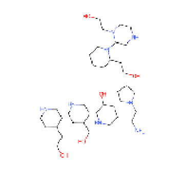 NCCN1CCCC1.OC1CCCNC1.OCC1CCNCC1.OCCC1CCCCN1C1CNCCN1CCO.OCCC1CCNCC1